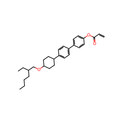 C=CC(=O)Oc1ccc(-c2ccc(C3CCC(OCC(CC)CCCC)CC3)cc2)cc1